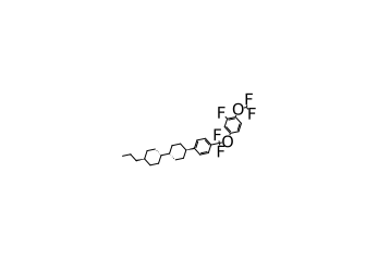 CCC[C@H]1CC[C@H]([C@H]2CC[C@H](c3ccc(C(F)(F)Oc4ccc(OC(F)F)c(F)c4)cc3)CC2)CC1